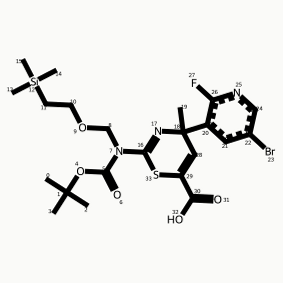 CC(C)(C)OC(=O)N(COCC[Si](C)(C)C)C1=NC(C)(c2cc(Br)cnc2F)C=C(C(=O)O)S1